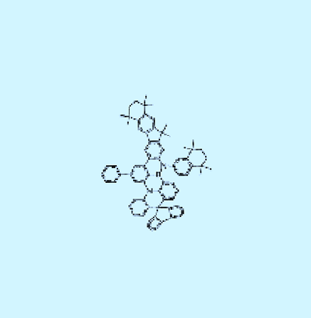 CC1(C)CCC(C)(C)c2cc(N3B4c5cccc6c5N(c5ccccc5C65c6ccccc6-c6ccccc65)c5cc(-c6ccccc6)cc(c54)-c4cc5c(cc43)C(C)(C)c3cc4c(cc3-5)C(C)(C)CCC4(C)C)ccc21